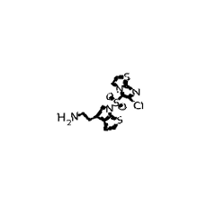 NCCc1cn(S(=O)(=O)c2c(Cl)nc3sccn23)c2sccc12